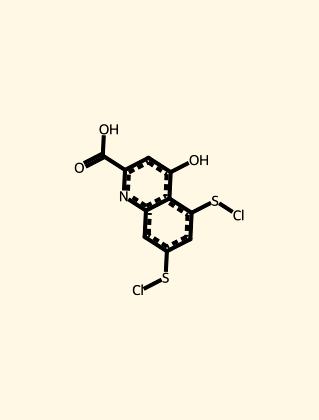 O=C(O)c1cc(O)c2c(SCl)cc(SCl)cc2n1